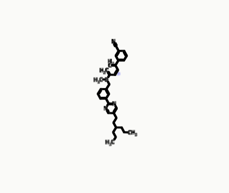 C=C(/C=C\C(=C)c1cccc(C#N)c1)B(C)Cc1cccc(-c2ncc(CCC(CCC)CCC)cn2)c1